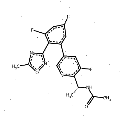 CC(=O)N[C@H](C)c1ncc(-c2cc(Cl)cc(F)c2-c2noc(C)n2)cc1F